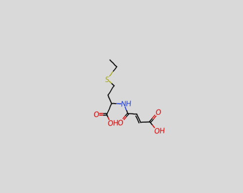 CCSCCC(NC(=O)C=CC(=O)O)C(=O)O